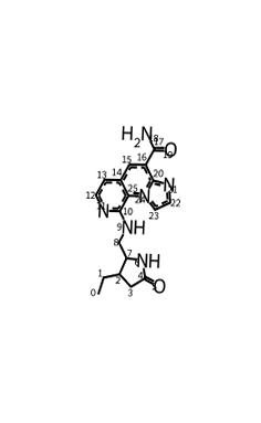 CCC1CC(=O)NC1CNc1nccc2cc(C(N)=O)c3nccn3c12